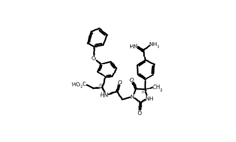 C[C@@]1(c2ccc(C(=N)N)cc2)NC(=O)N(CC(=O)N[C@@H](CC(=O)O)c2cccc(Oc3ccccc3)c2)C1=O